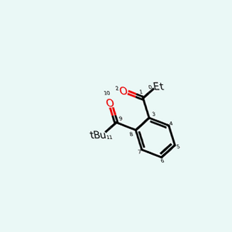 CCC(=O)c1ccccc1C(=O)C(C)(C)C